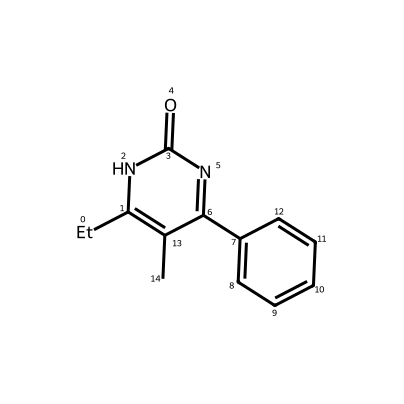 CCc1[nH]c(=O)nc(-c2ccccc2)c1C